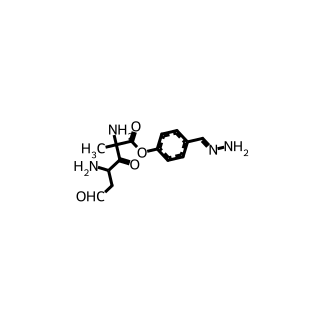 CC(N)(C(=O)Oc1ccc(C=NN)cc1)C(=O)C(N)CC=O